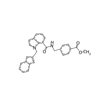 COC(=O)c1ccc(CNC(=O)c2cccc3ccn(Cc4cc5ccccc5s4)c23)cc1